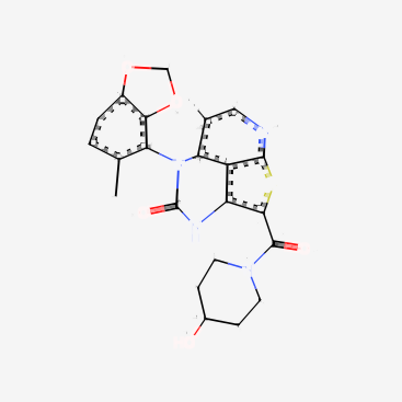 Cc1ccc2c(c1N1C(=O)Nc3c(C(=O)N4CCC(O)CC4)sc4ncc(C#N)c1c34)OCO2